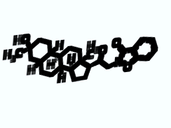 C[C@@]1(O)CC[C@H]2[C@H](CC[C@@H]3[C@@H]2CC[C@]2(C)[C@@H](C(=O)Cn4oc5ccccc5c4=O)CC[C@@H]32)C1